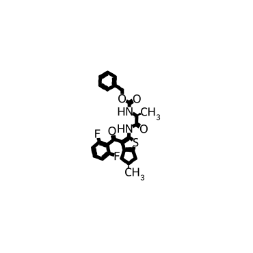 C[C@H]1Cc2sc(NC(=O)[C@H](C)NC(=O)OCc3ccccc3)c(C(=O)c3c(F)cccc3F)c2C1